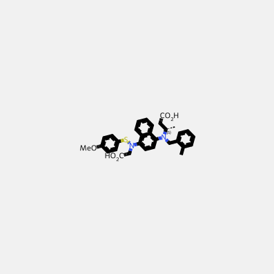 COc1ccc(SN(CC(=O)O)c2ccc(N(Cc3ccccc3C)[C@@H](C)CC(=O)O)c3ccccc23)cc1